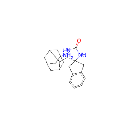 NC12CC3CC(C1)C(C1NC(=O)NC14Cc1ccccc1C4)C(C3)C2